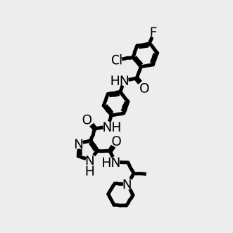 CC(CNC(=O)c1[nH]cnc1C(=O)Nc1ccc(NC(=O)c2ccc(F)cc2Cl)cc1)N1CCCCC1